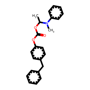 CC(OC(=O)Oc1ccc(Cc2ccccc2)cc1)N(C)c1ccccc1